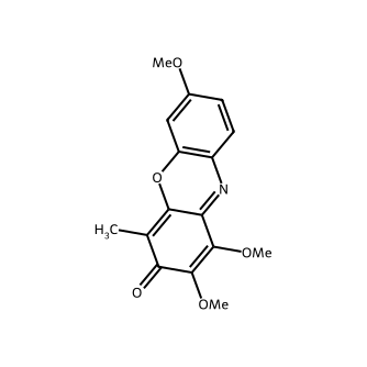 COc1ccc2nc3c(OC)c(OC)c(=O)c(C)c-3oc2c1